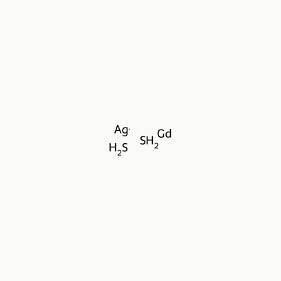 S.S.[Ag].[Gd]